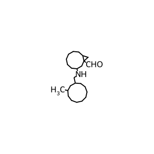 CC1CCCCCCCCC(CNC2CCCCCCC3CC3(C=O)C2)C1